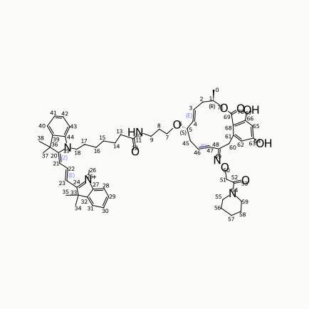 C[C@@H]1C/C=C/[C@@H](OCCCNC(=O)CCCCCCN2/C(=C\C=C\C3=[N+](C)c4ccccc4C3(C)C)C(C)(C)c3ccccc32)C/C=C/C(=NOCC(=O)N2CCCCC2)Cc2cc(O)cc(O)c2C(=O)O1